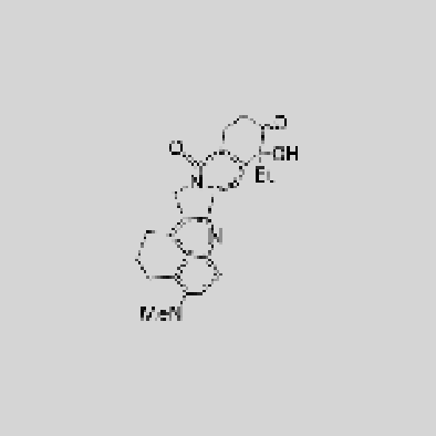 CC[C@@]1(O)C(=O)CCc2c1cc1n(c2=O)Cc2c-1nc1ccc(NC)c3c1c2CCC3